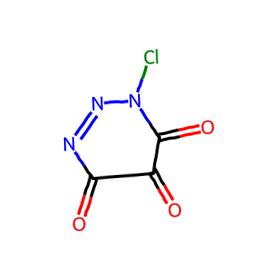 O=C1N=NN(Cl)C(=O)C1=O